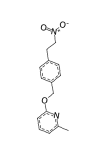 Cc1cccc(OCc2ccc(CC[N+](=O)[O-])cc2)n1